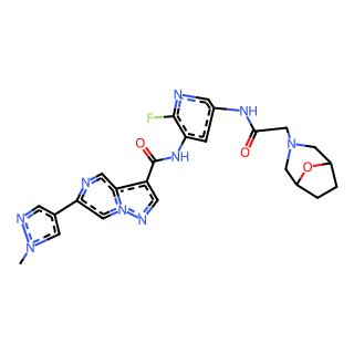 Cn1cc(-c2cn3ncc(C(=O)Nc4cc(NC(=O)CN5CC6CCC(C5)O6)cnc4F)c3cn2)cn1